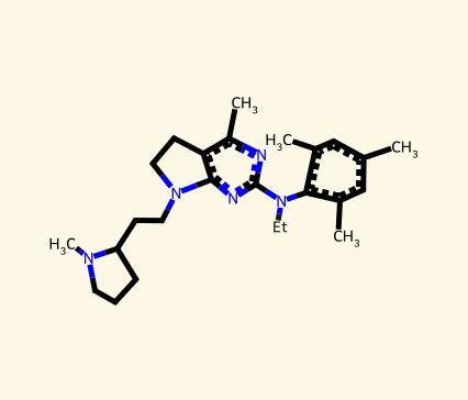 CCN(c1nc(C)c2c(n1)N(CCC1CCCN1C)CC2)c1c(C)cc(C)cc1C